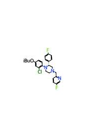 CC(C)COc1ccc(N2CCN(Cc3ccc(F)cn3)C[C@H]2c2ccc(F)cc2)c(Cl)c1